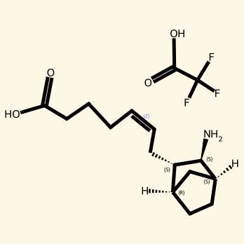 N[C@H]1[C@H]2CC[C@H](C2)[C@@H]1C/C=C\CCCC(=O)O.O=C(O)C(F)(F)F